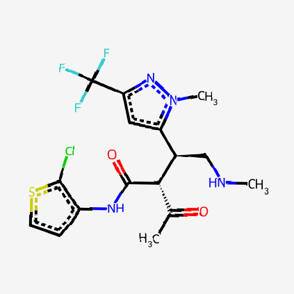 CNC[C@H](c1cc(C(F)(F)F)nn1C)[C@H](C(C)=O)C(=O)Nc1ccsc1Cl